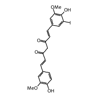 COc1cc(/C=C/C(=O)CC(=O)/C=C/c2cc(I)c(O)c(OC)c2)ccc1O